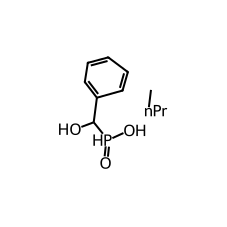 CCCC.O=[PH](O)C(O)c1ccccc1